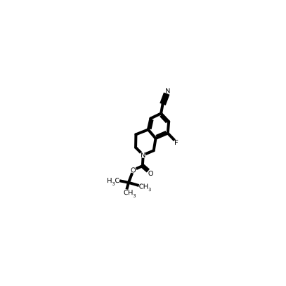 CC(C)(C)OC(=O)N1CCc2cc(C#N)cc(F)c2C1